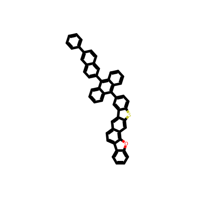 c1ccc(-c2ccc3cc(-c4c5ccccc5c(-c5ccc6sc7cc8c(ccc9c%10ccccc%10oc89)cc7c6c5)c5ccccc45)ccc3c2)cc1